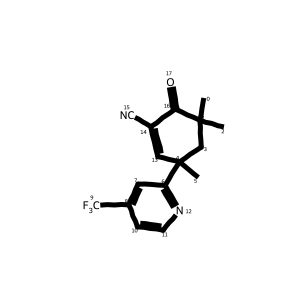 CC1(C)CC(C)(c2cc(C(F)(F)F)ccn2)C=C(C#N)C1=O